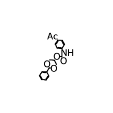 CC(=O)c1ccc(NC(=O)OC2COC(c3ccccc3)OC2)cc1